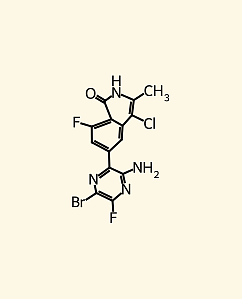 Cc1[nH]c(=O)c2c(F)cc(-c3nc(Br)c(F)nc3N)cc2c1Cl